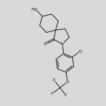 O=C1N(c2ccc(OC(F)(F)F)cc2Cl)CCC12CCC(O)CC2